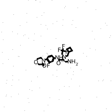 NC[C@@H](C(=O)Nc1ccc(N2CCOCC2=O)c(F)c1)N(CC1CCC1)CC(F)(F)F